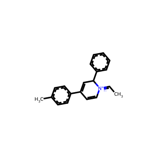 C/C=[N+]1\C=CC(c2ccc(C)cc2)=CC1c1ccccc1